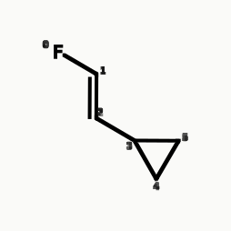 F/C=C/C1CC1